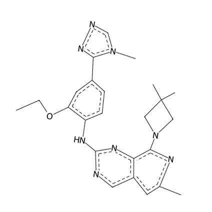 CCOc1cc(-c2nncn2C)ccc1Nc1ncc2cc(C)nc(N3CC(C)(C)C3)c2n1